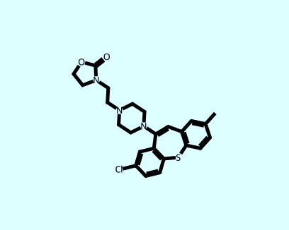 Cc1ccc2c(c1)C=C(N1CCN(CCN3CCOC3=O)CC1)c1cc(Cl)ccc1S2